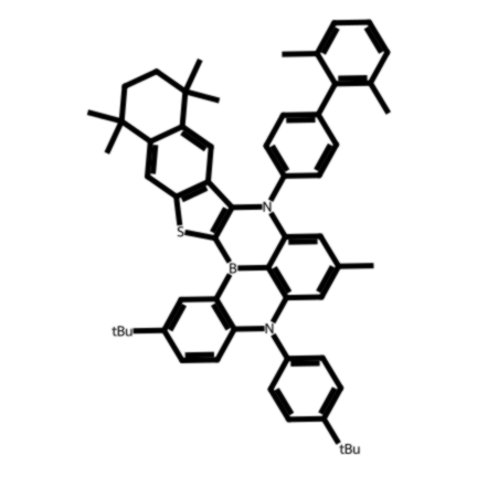 Cc1cc2c3c(c1)N(c1ccc(-c4c(C)cccc4C)cc1)c1c(sc4cc5c(cc14)C(C)(C)CCC5(C)C)B3c1cc(C(C)(C)C)ccc1N2c1ccc(C(C)(C)C)cc1